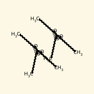 CCCCCCCCCCCCCCCC(=O)OCC(COC(=O)CCCCCCCCCCCCCCC)OC(=O)CCCCCCCCCCCCCCC.CCCCCCCCCCCCCCCC(=O)OCC(COC(=O)CCCCCCCCCCCCCCC)OC(=O)CCCCCCCCCCCCCCC